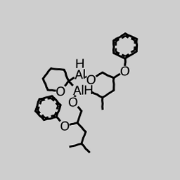 CC(C)CC(C[O][AlH][C]1([AlH][O]CC(CC(C)C)Oc2ccccc2)CCCCO1)Oc1ccccc1